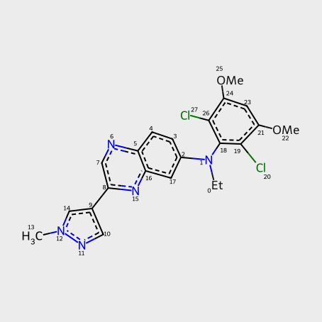 CCN(c1ccc2ncc(-c3cnn(C)c3)nc2c1)c1c(Cl)c(OC)cc(OC)c1Cl